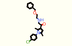 Cc1cc(C(=O)CNCCOCc2ccccc2)c(C)n1-c1ccc(Cl)cc1